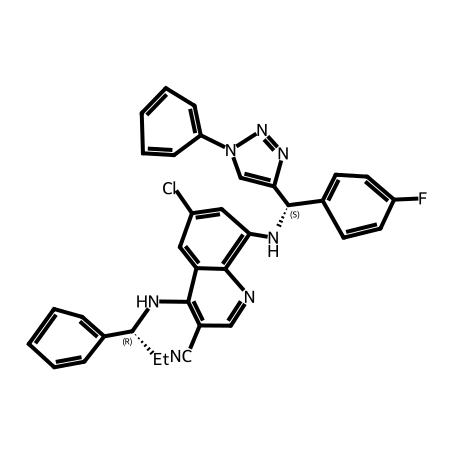 CC[C@@H](Nc1c(C#N)cnc2c(N[C@@H](c3ccc(F)cc3)c3cn(-c4ccccc4)nn3)cc(Cl)cc12)c1ccccc1